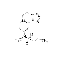 CCCS(=O)(=O)N(C)C1CCN2CCc3ccsc3C2C1